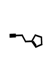 C#CCCC1=C[CH]CC1